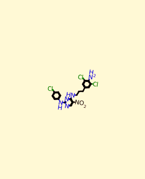 Nc1c(Cl)cc(CCCNc2nc(Nc3ccc(Cl)cc3)ncc2[N+](=O)[O-])cc1Cl